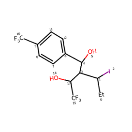 CCC(I)C(C(O)c1ccc(C(F)(F)F)cc1)C(O)C(F)(F)F